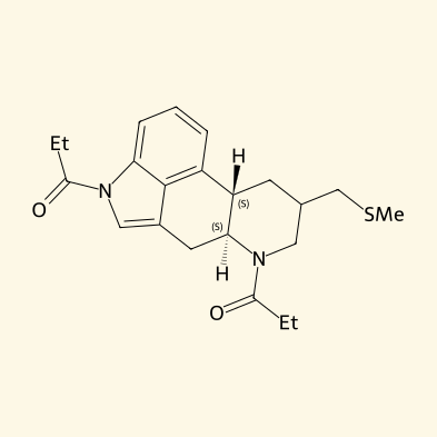 CCC(=O)N1CC(CSC)C[C@H]2c3cccc4c3c(cn4C(=O)CC)C[C@@H]21